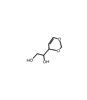 OCC(O)C1C=COCO1